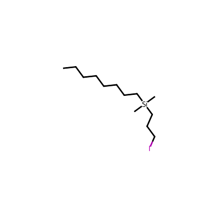 CCCCCCCC[Si](C)(C)CCCI